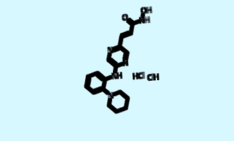 Cl.Cl.O=C(/C=C/c1cnc(Nc2ccccc2N2CCCCC2)cn1)NO